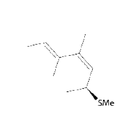 C/C=C(C)/C(C)=C\[C@H](C)SC